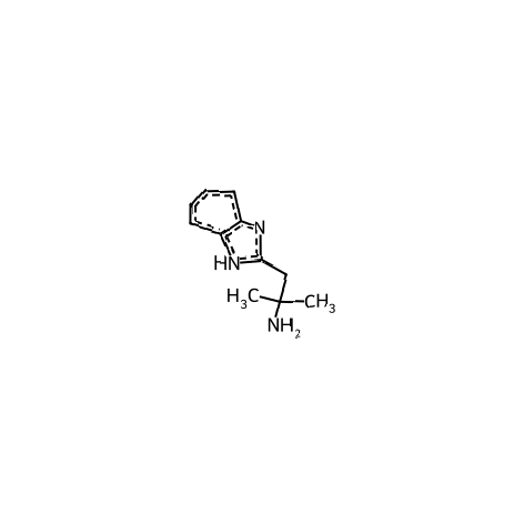 CC(C)(N)Cc1nc2ccccc2[nH]1